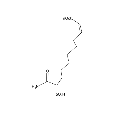 CCCCCCCC/C=C\CCCCCCC(C(N)=O)S(=O)(=O)O